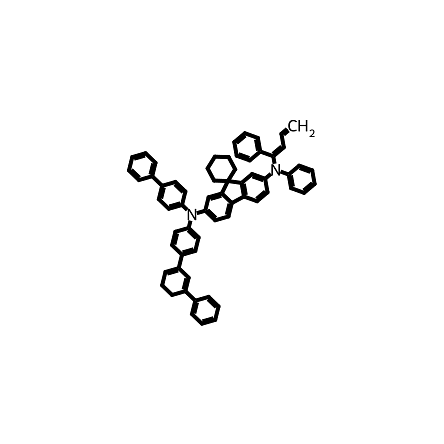 C=C/C=C(\c1ccccc1)N(c1ccccc1)c1ccc2c(c1)C1(CCCCC1)c1cc(N(c3ccc(C4=CCCC(c5ccccc5)=C4)cc3)c3ccc(-c4ccccc4)cc3)ccc1-2